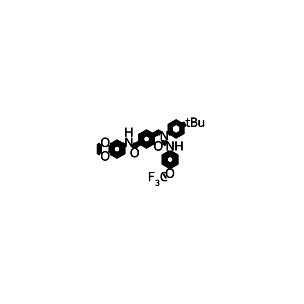 CC(C)(C)C1CCC(N(Cc2ccc(C(=O)Nc3ccc4c(c3)OCCO4)cc2)C(=O)Nc2ccc(OC(F)(F)F)cc2)CC1